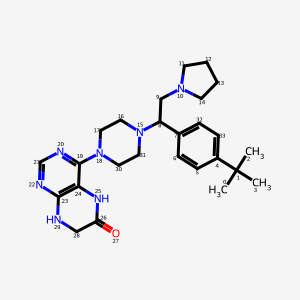 CC(C)(C)c1ccc(C(CN2CCCC2)N2CCN(c3ncnc4c3NC(=O)CN4)CC2)cc1